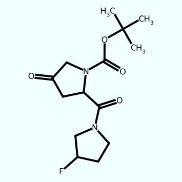 CC(C)(C)OC(=O)N1CC(=O)CC1C(=O)N1CCC(F)C1